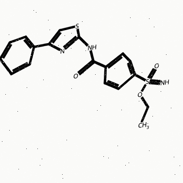 CCOS(=N)(=O)c1ccc(C(=O)Nc2nc(-c3ccccc3)cs2)cc1